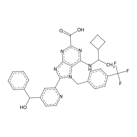 CC(Nc1nc(C(=O)O)nc2nc(-c3cc(C(O)c4ccccc4)ccn3)n(Cc3ccc(C(F)(F)F)cc3)c12)C1CCC1